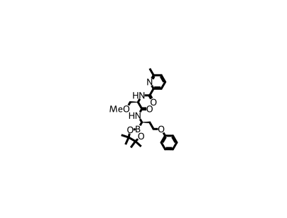 COC[C@@H](NC(=O)c1cccc(C)n1)C(=O)N[C@@H](CCOc1ccccc1)B1OC(C)(C)C(C)(C)O1